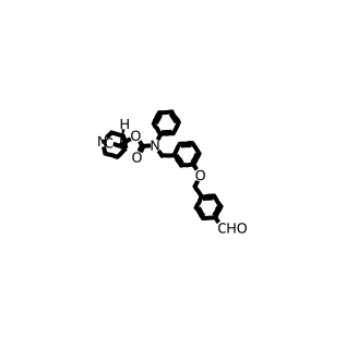 O=Cc1ccc(COc2cccc(CN(C(=O)O[C@H]3CN4CCC3CC4)c3ccccc3)c2)cc1